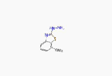 COc1cccc2nc(NN)sc12